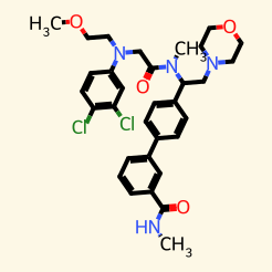 CNC(=O)c1cccc(-c2ccc(C(CN3CCOCC3)N(C)C(=O)CN(CCOC)c3ccc(Cl)c(Cl)c3)cc2)c1